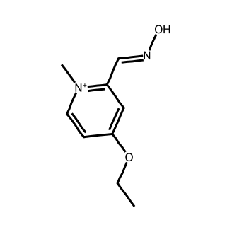 CCOc1cc[n+](C)c(/C=N/O)c1